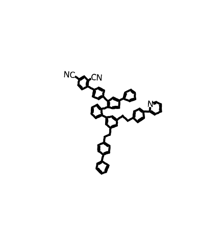 N#Cc1ccc(-c2ccc(-c3cc(-c4ccccc4)ccc3-c3ccccc3-c3cc(CCc4ccc(-c5ccccc5)cc4)cc(CCc4ccc(-c5ccccn5)cc4)c3)cc2)c(C#N)c1